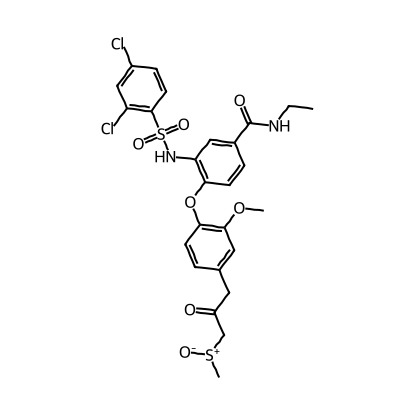 CCNC(=O)c1ccc(Oc2ccc(CC(=O)C[S+](C)[O-])cc2OC)c(NS(=O)(=O)c2ccc(Cl)cc2Cl)c1